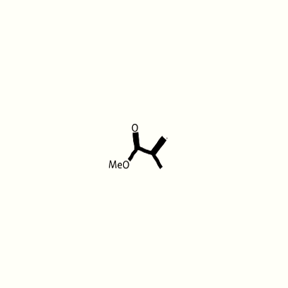 [CH]=C(C)C(=O)OC